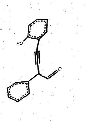 O=[C]C(C#Cc1ccccc1O)c1ccccc1